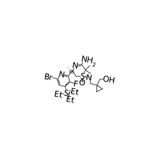 CC[Si](CC)(CC)c1cc(Br)nc([C@]2(C)CS(=O)(=NCC3(CO)CC3)C(C)(C)C(N)=N2)c1F